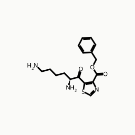 NCCCC[C@H](N)C(=O)c1s[c]nc1C(=O)OCc1ccccc1